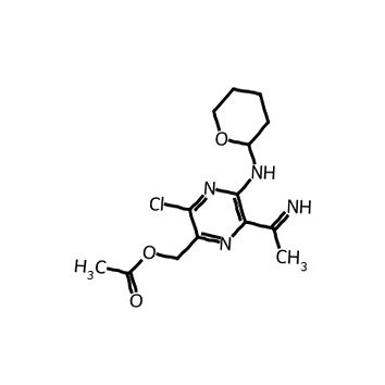 CC(=N)c1nc(COC(C)=O)c(Cl)nc1NC1CCCCO1